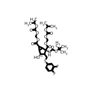 CC(C)OC(=O)OCOC(=O)C1C2C1[C@](NC(=O)OC(C)(C)C)(C(=O)OCOC(=O)OC(C)C)C(CSc1ccc(F)c(F)c1)[C@H]2O